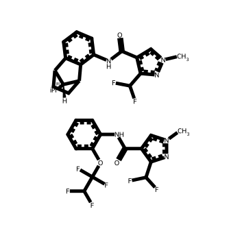 CC(C)[C@@H]1C2CCC1c1c(NC(=O)c3cn(C)nc3C(F)F)cccc12.Cn1cc(C(=O)Nc2ccccc2OC(F)(F)C(F)F)c(C(F)F)n1